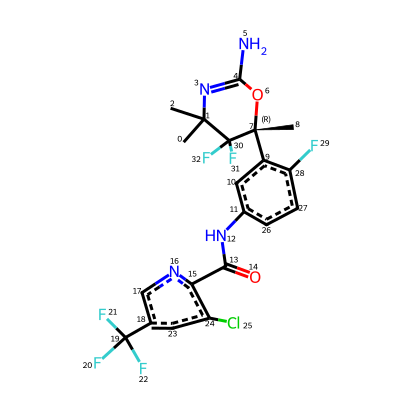 CC1(C)N=C(N)O[C@](C)(c2cc(NC(=O)c3ncc(C(F)(F)F)cc3Cl)ccc2F)C1(F)F